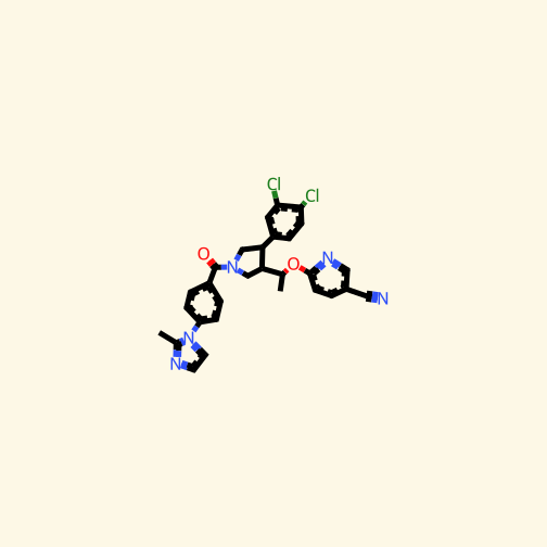 Cc1nccn1-c1ccc(C(=O)N2CC(c3ccc(Cl)c(Cl)c3)C(C(C)Oc3ccc(C#N)cn3)C2)cc1